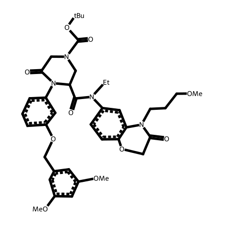 CCN(C(=O)C1CN(C(=O)OC(C)(C)C)CC(=O)N1c1cccc(OCc2cc(OC)cc(OC)c2)c1)c1ccc2c(c1)N(CCCOC)C(=O)CO2